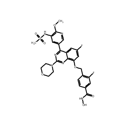 COc1ncc(-c2nc(N3CCOCC3)nc3c(OCc4ccc(C(=O)NO)cc4F)cc(F)cc23)cc1NS(C)(=O)=O